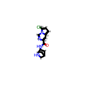 O=C(NC1CC2CNC1C2)c1cc2ccc(Cl)n2cn1